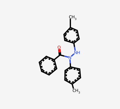 Cc1ccc(NN(C(=O)c2ccccc2)c2ccc(C)cc2)cc1